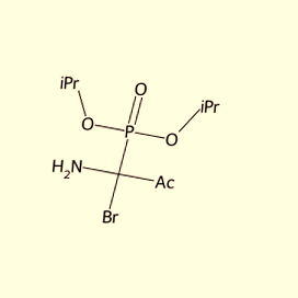 CC(=O)C(N)(Br)P(=O)(OC(C)C)OC(C)C